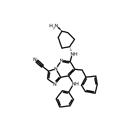 N#Cc1cnc2c(Nc3ccccc3)c(Cc3ccccc3)c(N[C@H]3CC[C@H](N)CC3)nn12